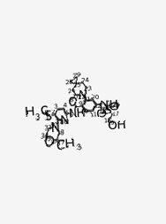 CSc1ccc(NC(=O)c2ccc(NS(=O)(=O)CCO)cc2N2CCC3(CC2)CC3)nc1N1CCO[C@@H](C)C1